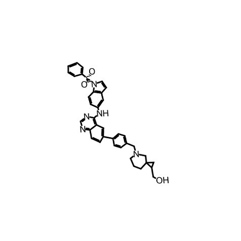 O=S(=O)(c1ccccc1)n1ccc2cc(Nc3ncnc4ccc(-c5ccc(CN6CCCC7(CC7CO)C6)cc5)cc34)ccc21